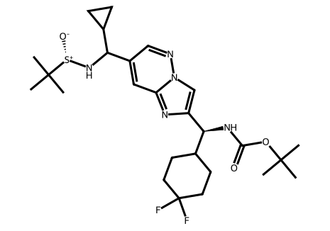 CC(C)(C)OC(=O)N[C@H](c1cn2ncc(C(N[S@@+]([O-])C(C)(C)C)C3CC3)cc2n1)C1CCC(F)(F)CC1